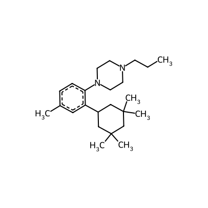 CCCN1CCN(c2ccc(C)cc2C2CC(C)(C)CC(C)(C)C2)CC1